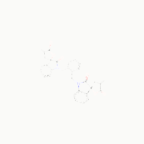 C=C1CC2(OC1=O)C(=O)N(Cc1ccccc1CN1C(=O)C3(CC(=C)C(=O)O3)c3ccccc31)c1ccccc12